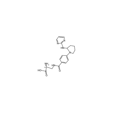 N[C@@H](CNC(=O)c1ccc(N2CCCCC2Nc2ncccn2)cc1)C(=O)O